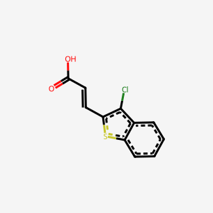 O=C(O)/C=C/c1sc2ccccc2c1Cl